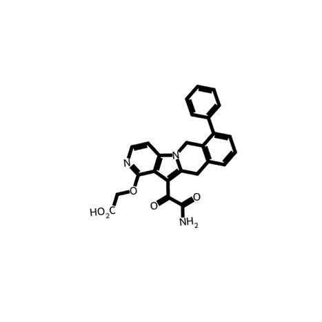 NC(=O)C(=O)c1c2n(c3ccnc(OCC(=O)O)c13)Cc1c(cccc1-c1ccccc1)C2